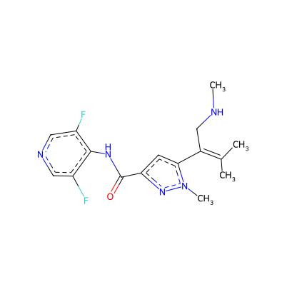 CNCC(=C(C)C)c1cc(C(=O)Nc2c(F)cncc2F)nn1C